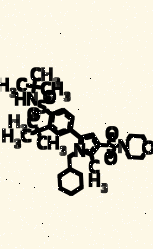 Cc1c(S(=O)(=O)N2CCOCC2)cc(-c2ccc(S(=O)(=O)NC(C)(C)C)c(C(C)(C)C)c2)n1CC1CCCCC1